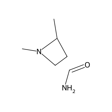 CC1CCN1C.NC=O